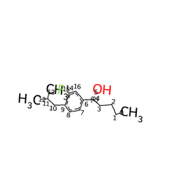 CCCC[C@@H](O)c1ccc(CC(C)C)c(F)c1